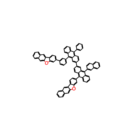 c1ccc(-c2c3ccccc3c(-c3cccc(-c4ccc5c(c4)oc4cc6ccccc6cc45)c3)c3cc(-c4ccc5c(-c6ccc7c(c6)oc6cc8ccccc8cc67)c6ccccc6c(-c6ccc7ccccc7c6)c5c4)ccc23)cc1